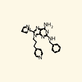 Nc1nc(NCc2ccccc2)nc2c1nc(-n1cccn1)n2CCCc1ccncc1